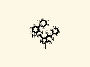 Fc1c(-c2cccnc2)ncc2[nH]nc(-c3nc4c(N5CCCCC5)cccc4[nH]3)c12